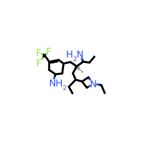 CCC(C[C@@](C)(CC1C=C(C(F)(F)F)CC(N)C1)C(N)CC)C1CN(CC)C1